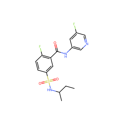 CCC(C)NS(=O)(=O)c1ccc(F)c(C(=O)Nc2cncc(F)c2)c1